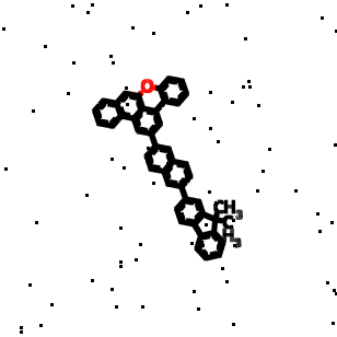 CC1(C)c2ccccc2-c2ccc(-c3ccc4cc(-c5cc6c7c(cc8ccccc8c7c5)Oc5ccccc5-6)ccc4c3)cc21